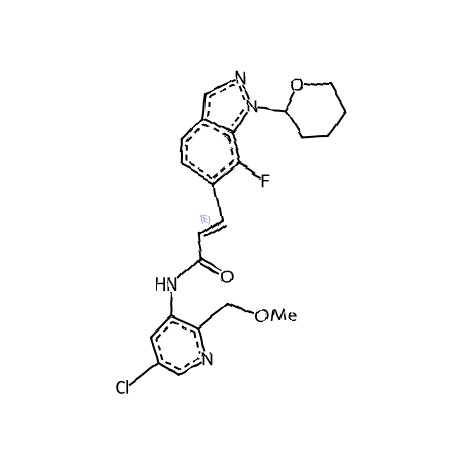 COCc1ncc(Cl)cc1NC(=O)/C=C/c1ccc2cnn(C3CCCCO3)c2c1F